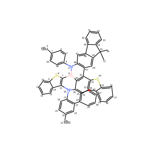 CC(C)(C)c1ccc(N2B3c4sc5ccccc5c4N(c4ccc(C(C)(C)C)cc4-c4ccccc4)c4cc5c(sc6ccccc65)c(c43)-c3cc4c(cc32)-c2ccccc2C4(C)C)cc1